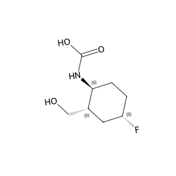 O=C(O)N[C@H]1CC[C@H](F)C[C@@H]1CO